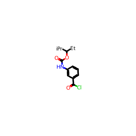 CCC(OC(=O)Nc1cccc(C(=O)Cl)c1)C(C)C